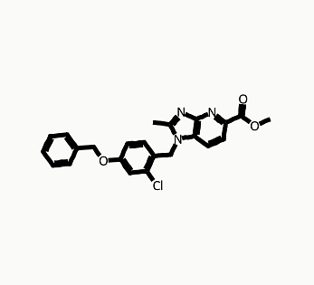 COC(=O)c1ccc2c(n1)nc(C)n2Cc1ccc(OCc2ccccc2)cc1Cl